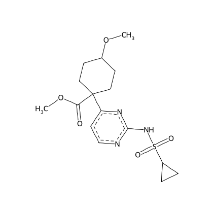 COC(=O)C1(c2ccnc(NS(=O)(=O)C3CC3)n2)CCC(OC)CC1